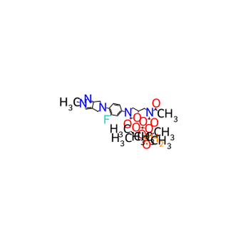 CC(=O)N(CC1CN(c2ccc(N3Cc4cn(C)nc4C3)c(F)c2)C(=O)O1)C(=O)OC(O[PH2]=O)(OC(C)(C)C)OC(C)(C)C